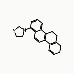 C1=CC2=C(CC1)CCc1c2ccc2c(N3CCSC3)cccc12